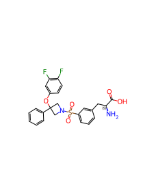 N[C@@H](Cc1cccc(S(=O)(=O)N2CC(Oc3ccc(F)c(F)c3)(c3ccccc3)C2)c1)C(=O)O